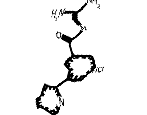 Cl.NC(N)=NC(=O)c1cccc(-c2ccccn2)c1